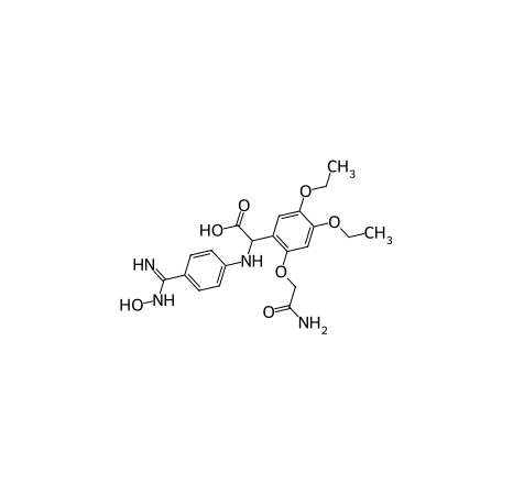 CCOc1cc(OCC(N)=O)c(C(Nc2ccc(C(=N)NO)cc2)C(=O)O)cc1OCC